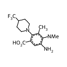 CNc1c(N)cc(C(=O)O)c(N2CCC(C(F)(F)F)CC2)c1C